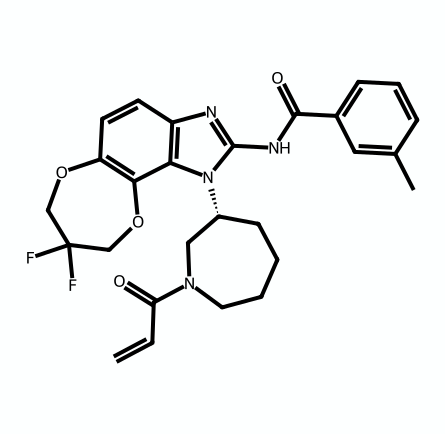 C=CC(=O)N1CCCC[C@@H](n2c(NC(=O)c3cccc(C)c3)nc3ccc4c(c32)OCC(F)(F)CO4)C1